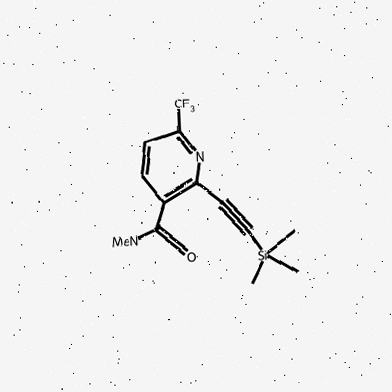 CNC(=O)c1ccc(C(F)(F)F)nc1C#C[Si](C)(C)C